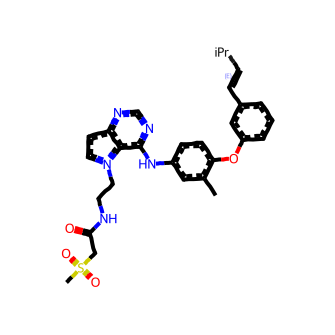 Cc1cc(Nc2ncnc3ccn(CCNC(=O)CS(C)(=O)=O)c23)ccc1Oc1cccc(/C=C/C(C)C)c1